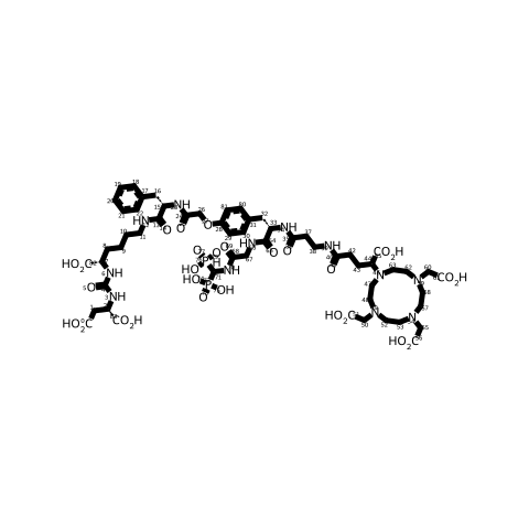 O=C(O)C[C@H](NC(=O)N[C@@H](CCCCNC(=O)[C@H](Cc1ccccc1)NC(=O)COc1ccc(C[C@H](NC(=O)CCNC(=O)CCC(C(=O)O)N2CCN(CC(=O)O)CCN(CC(=O)O)CCN(CC(=O)O)CC2)C(=O)NCC(=O)NC(P(=O)(O)O)P(=O)(O)O)cc1)C(=O)O)C(=O)O